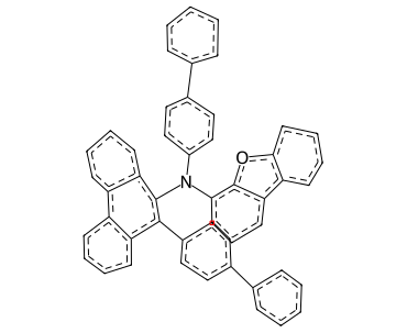 c1ccc(-c2ccc(-c3c(N(c4ccc(-c5ccccc5)cc4)c4cccc5c4oc4ccccc45)c4ccccc4c4ccccc34)cc2)cc1